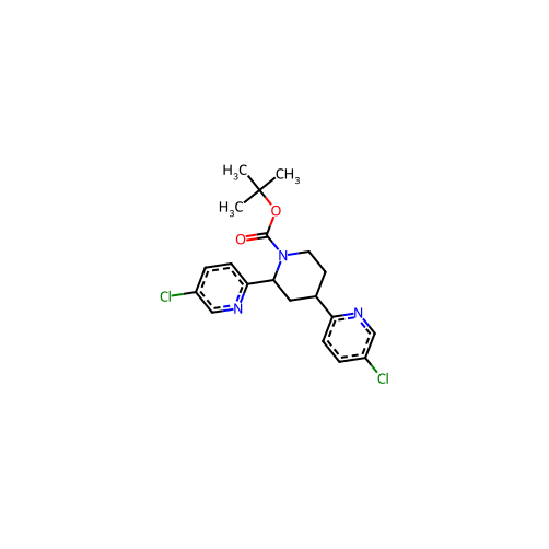 CC(C)(C)OC(=O)N1CCC(c2ccc(Cl)cn2)CC1c1ccc(Cl)cn1